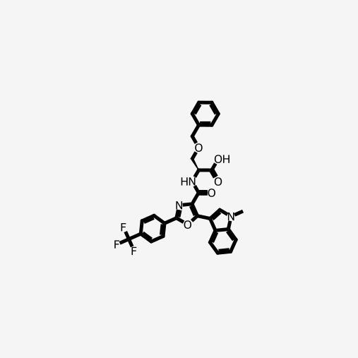 Cn1cc(-c2oc(-c3ccc(C(F)(F)F)cc3)nc2C(=O)N[C@@H](COCc2ccccc2)C(=O)O)c2ccccc21